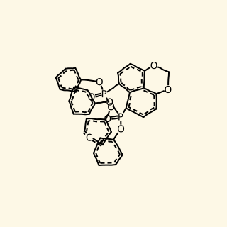 O=P(Oc1ccccc1)(Oc1ccccc1)c1ccc2c3c(ccc(P(=O)(Oc4ccccc4)Oc4ccccc4)c13)OCO2